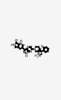 NC[C@]1(c2ccccc2F)[C@@H]2CCN(c3cnc4c(C5=CNC6=C(CNC6=O)C5)n[nH]c4n3)C[C@@H]21